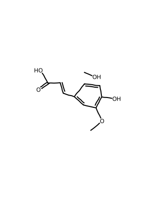 CO.COc1cc(C=CC(=O)O)ccc1O